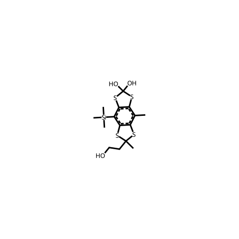 Cc1c2c(c([Si](C)(C)C)c3c1SC(C)(CCO)S3)SC(O)(O)S2